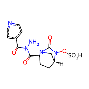 NN(C(=O)c1ccncc1)C(=O)[C@@H]1CC[C@@H]2CN1C(=O)N2OS(=O)(=O)O